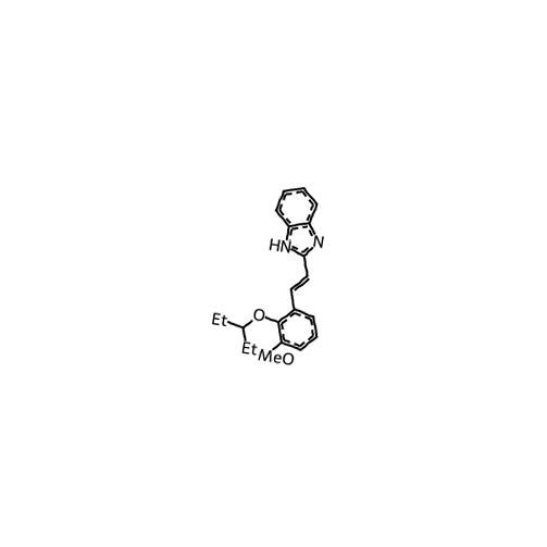 CCC(CC)Oc1c(/C=C/c2nc3ccccc3[nH]2)cccc1OC